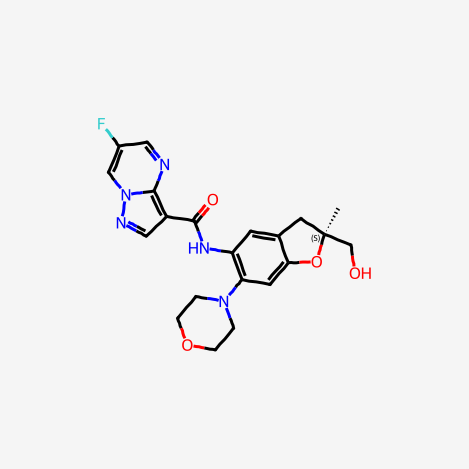 C[C@@]1(CO)Cc2cc(NC(=O)c3cnn4cc(F)cnc34)c(N3CCOCC3)cc2O1